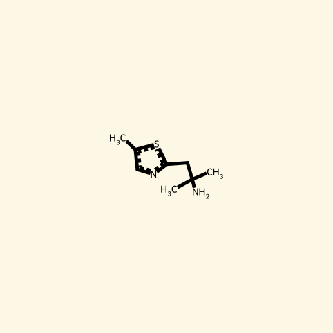 Cc1cnc(CC(C)(C)N)s1